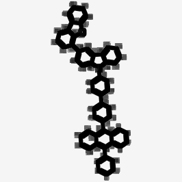 c1ccc(-c2c3ccccc3c(-c3ccc(-c4ccc(-n5c6ccccc6c6cc(-c7cccc8c7oc7ccccc78)ccc65)cc4)cc3)c3ccccc23)cc1